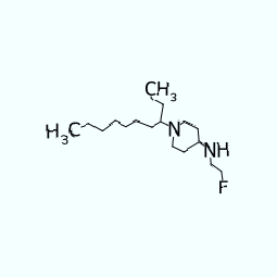 CCCCCCCC(CCC)N1CCC(NCCF)CC1